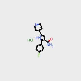 Cl.NC(=O)c1cc(-c2ccncc2)[nH]c1-c1ccc(F)cc1